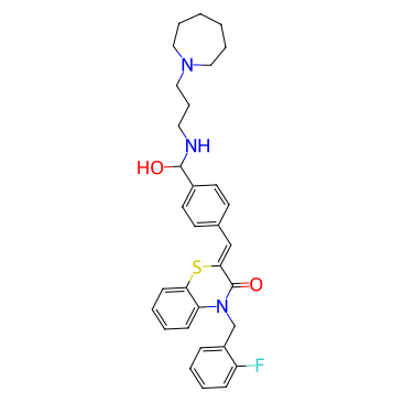 O=C1/C(=C/c2ccc(C(O)NCCCN3CCCCCC3)cc2)Sc2ccccc2N1Cc1ccccc1F